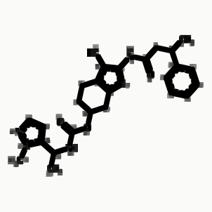 CC(CC(=O)Nc1sc2c(c1C#N)CCC(OC(=O)NC(C)c1ccnn1C)C2)c1ccccc1